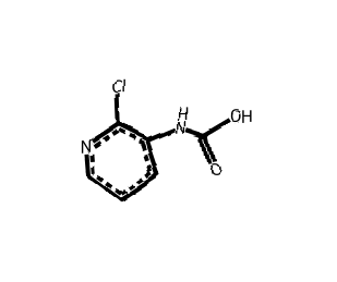 O=C(O)Nc1cccnc1Cl